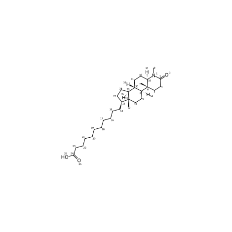 CN1C(=O)CC[C@]2(C)[C@H]3CC[C@]4(C)[C@@H](CCCCCCCCCCC(=O)O)CC[C@H]4[C@@H]3CC[C@@H]12